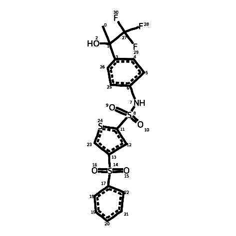 CC(O)(c1ccc(NS(=O)(=O)c2cc(S(=O)(=O)c3ccccc3)cs2)cc1)C(F)(F)F